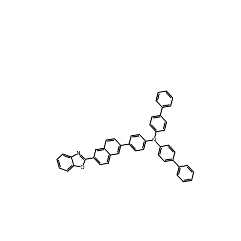 c1ccc(-c2ccc(N(c3ccc(-c4ccccc4)cc3)c3ccc(-c4ccc5cc(-c6nc7ccccc7o6)ccc5c4)cc3)cc2)cc1